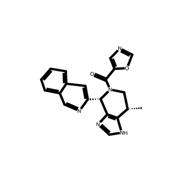 C[C@H]1CN(C(=O)c2cnco2)[C@@H](c2cc3ccccc3cn2)c2nc[nH]c21